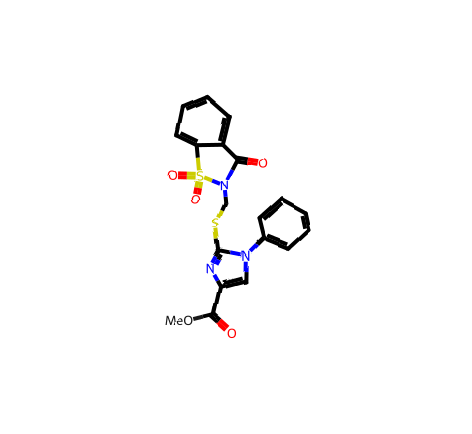 COC(=O)c1cn(-c2ccccc2)c(SCN2C(=O)c3ccccc3S2(=O)=O)n1